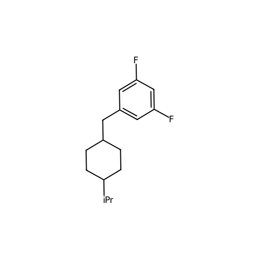 CC(C)C1CCC(Cc2cc(F)cc(F)c2)CC1